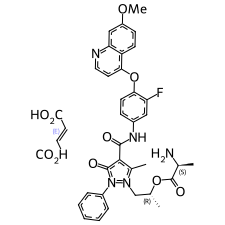 COc1ccc2c(Oc3ccc(NC(=O)c4c(C)n(C[C@@H](C)OC(=O)[C@H](C)N)n(-c5ccccc5)c4=O)cc3F)ccnc2c1.O=C(O)/C=C/C(=O)O